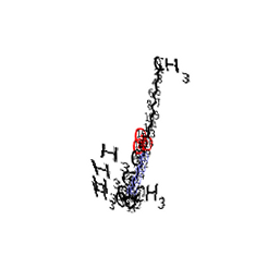 CCCCCCCCCCCCCCC(=O)OC(=O)/C=C(C)/C=C/C=C(C)/C=C/C1=C(C)CCCC1(C)C